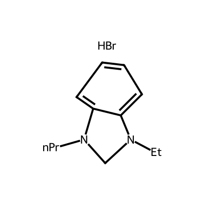 Br.CCCN1CN(CC)c2ccccc21